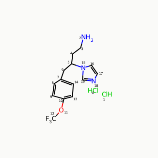 Cl.Cl.NCCC(Cc1ccc(OC(F)(F)F)cc1)n1ccnc1